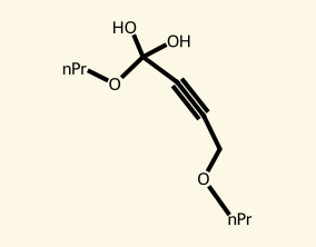 CCCOCC#CC(O)(O)OCCC